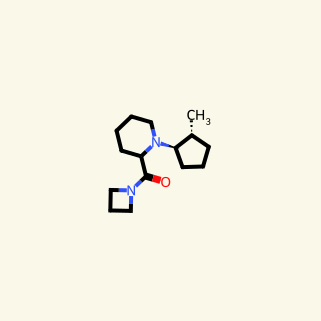 C[C@@H]1CCC[C@H]1N1CCCCC1C(=O)N1CCC1